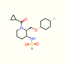 CS(=O)(=O)N[C@H]1CCCN(C(=O)C2CC2)[C@H]1CO[C@H]1CC[C@@H](C)CC1